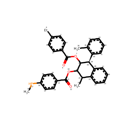 CCc1ccc(C(=O)OC2C(OC(=O)c3ccc(PC)cc3)C(C)c3ccccc3[C@@H]2c2ccccc2C)cc1